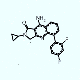 Nc1c2c(nc3c(-c4ccc(F)cc4F)cccc13)CN(C1CC1)C2=O